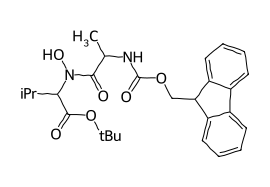 CC(NC(=O)OCC1c2ccccc2-c2ccccc21)C(=O)N(O)C(C(=O)OC(C)(C)C)C(C)C